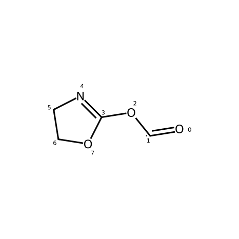 O=[C]OC1=NCCO1